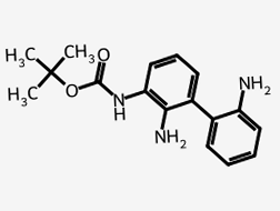 CC(C)(C)OC(=O)Nc1cccc(-c2ccccc2N)c1N